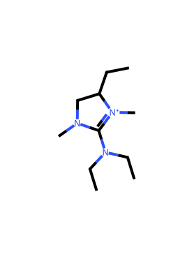 CCC1CN(C)C(N(CC)CC)=[N+]1C